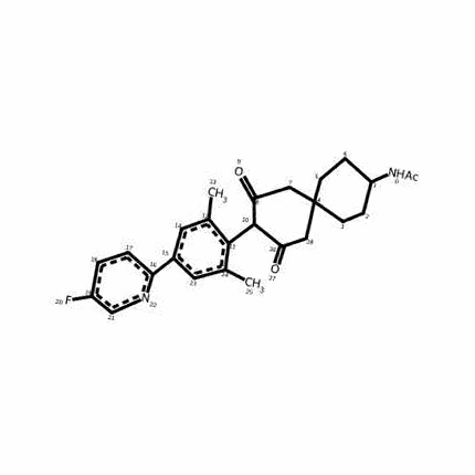 CC(=O)NC1CCC2(CC1)CC(=O)C(c1c(C)cc(-c3ccc(F)cn3)cc1C)C(=O)C2